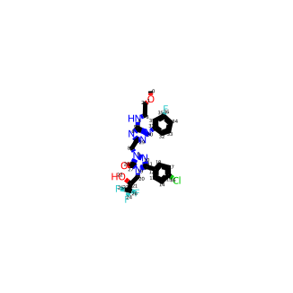 COCCNc1nc(Cn2nc(-c3ccc(Cl)cc3)n(CC(O)C(F)(F)F)c2=O)nn1-c1cccc(F)c1